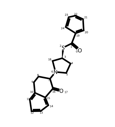 O=C(S[C@H]1CCN(C2CCc3ccccc3C2=O)C1)c1ccccc1